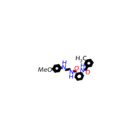 COc1ccc(NCCNC(=O)[C@H]2CCCC[C@H]2NC(=O)c2cccc(C)c2)cc1